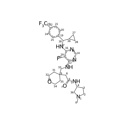 CN1CCC(NC(=O)CC2(CNc3ncnc(NC(c4ccc(C(F)(F)F)cc4)C4CC4)c3F)CCOCC2)C1